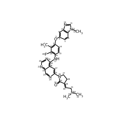 Cc1c(Oc2ccc3c(c2)ncn3C)ccc(Nc2ncnc3cnc(N4CC/C(=C\CN(C)C)C4=O)cc23)c1F